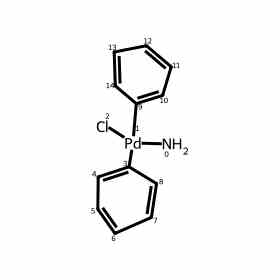 [NH2][Pd]([Cl])([c]1ccccc1)[c]1ccccc1